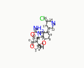 C[C@H]1OCC[C@H]2Oc3ccc(-c4cncc(Cl)c4)cc3[C@@]3(COC(N)=N3)C12